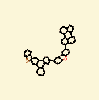 c1ccc2c(c1)sc1cc3c4ccccc4c4cc(-c5ccc6oc7ccc(-c8ccc9c%10cccc%11cccc(c%12cccc8c%129)c%11%10)cc7c6c5)ccc4c3cc12